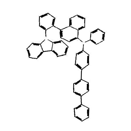 c1ccc(-c2ccc(-c3ccc(N(c4ccccc4)c4ccc(-c5ccccc5-n5c6ccccc6c6ccccc65)c5ccccc45)cc3)cc2)cc1